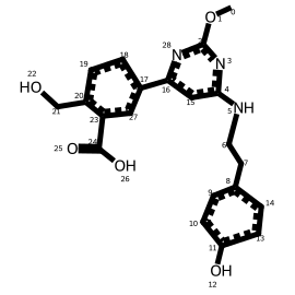 COc1nc(NCCc2ccc(O)cc2)cc(-c2ccc(CO)c(C(=O)O)c2)n1